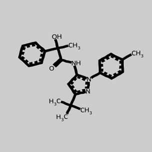 Cc1ccc(-n2nc(C(C)(C)C)cc2NC(=O)C(C)(O)c2ccccc2)cc1